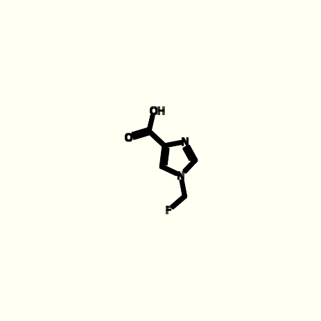 O=C(O)c1cn(CF)cn1